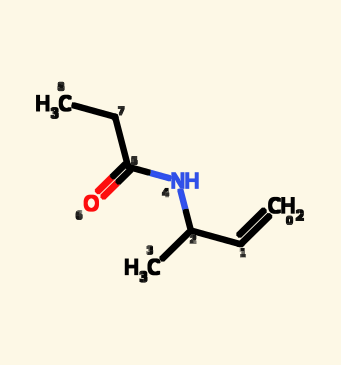 C=CC(C)NC(=O)CC